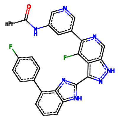 CCCC(=O)Nc1cncc(-c2ncc3[nH]nc(-c4nc5c(-c6ccc(F)cc6)cccc5[nH]4)c3c2F)c1